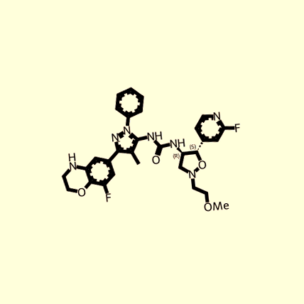 COCCN1C[C@@H](NC(=O)Nc2c(C)c(-c3cc(F)c4c(c3)NCCO4)nn2-c2ccccc2)[C@H](c2ccnc(F)c2)O1